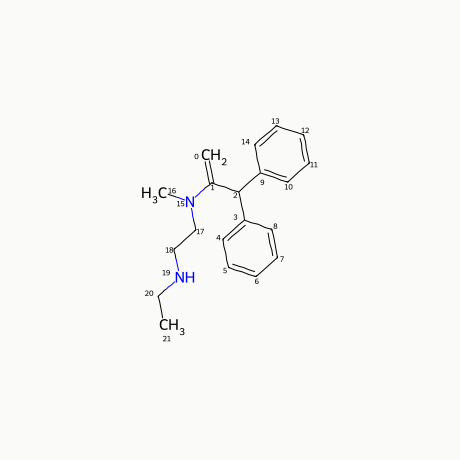 C=C(C(c1ccccc1)c1ccccc1)N(C)CCNCC